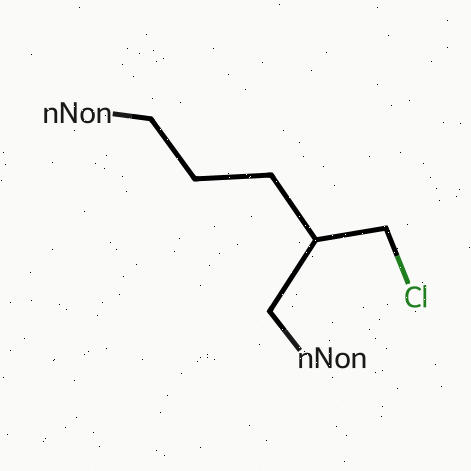 CCCCCCCCCCCCC(CCl)CCCCCCCCCC